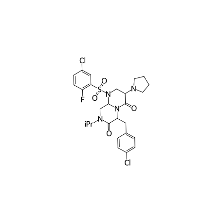 CC(C)N1CC2N(C(=O)C(N3CCCC3)CN2S(=O)(=O)c2cc(Cl)ccc2F)C(Cc2ccc(Cl)cc2)C1=O